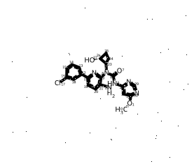 COc1cc(NC(=O)N(c2nc(-c3cccc(Cl)c3)ccc2N)C2CC[C@H]2O)ncn1